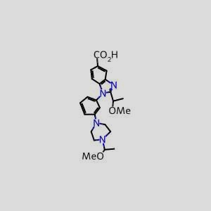 COC(C)c1nc2cc(C(=O)O)ccc2n1-c1cccc(N2CCN(C(C)OC)CC2)c1